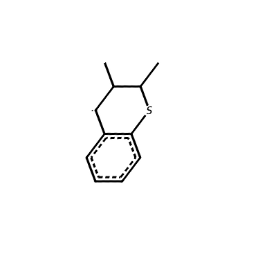 CC1[CH]c2ccccc2SC1C